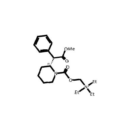 CC[N+](CC)(CC)COC(=O)N1CCCC[C@@H]1C(C(=O)OC)c1ccccc1